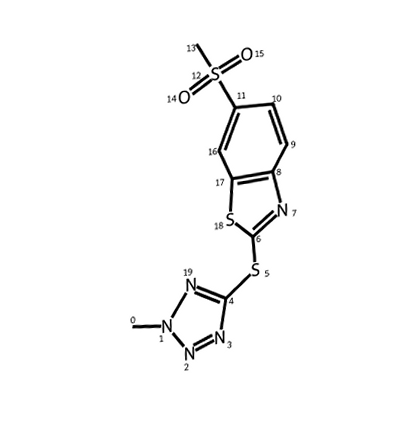 Cn1nnc(Sc2nc3ccc(S(C)(=O)=O)cc3s2)n1